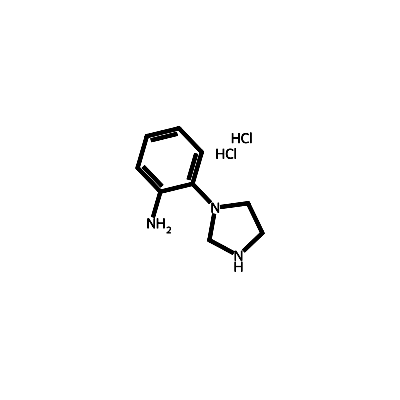 Cl.Cl.Nc1ccccc1N1CCNC1